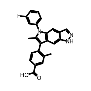 Cc1cc(C(=O)O)ccc1-c1c(C)n(-c2cccc(F)c2)c2cc3cn[nH]c3cc12